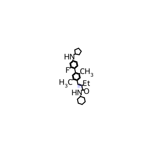 CC/C(=C\c1cc(C)c(-c2ccc(NC3CCCC3)cc2F)cc1C)C(=O)NC1CCCCC1